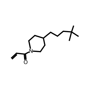 C=CC(=O)N1CCC(CCCC(C)(C)C)CC1